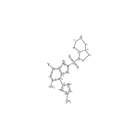 Cc1cc(F)c2[nH]c(S(=O)(=O)N3CCC4COCCC43)cc2c1-c1ncn(C)n1